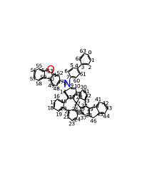 c1ccc(-c2ccc(N(c3ccc4c(c3)-c3ccccc3-c3ccccc3C43c4ccccc4-c4c3ccc3c4-c4ccccc4C3)c3ccc4c(c3)oc3ccccc34)cc2)cc1